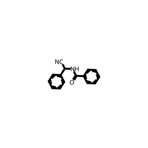 N#CC(NC(=O)c1ccccc1)c1ccccc1